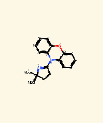 CCCCC1(CCCC)CCC(N2c3ccccc3Oc3ccccc32)=N1